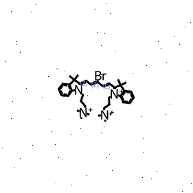 CC1(C)C(/C=C/C(Br)=C/C=C2\N(CCC[N+](C)(C)C)c3ccccc3C2(C)C)=[N+](CCC[N+](C)(C)C)c2ccccc21